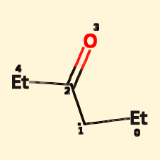 CC[CH]C(=O)CC